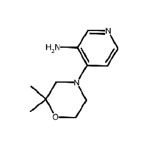 CC1(C)CN(c2ccncc2N)CCO1